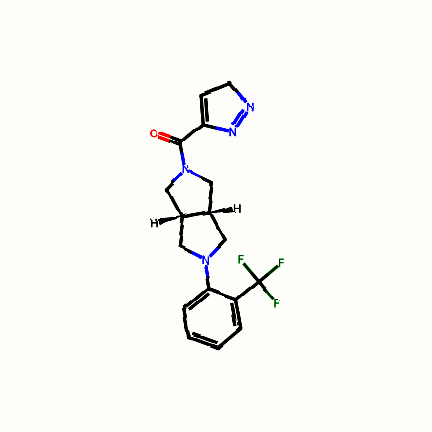 O=C(C1=CCN=N1)N1C[C@@H]2CN(c3ccccc3C(F)(F)F)C[C@@H]2C1